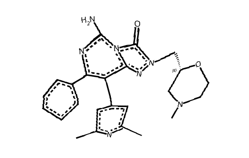 Cc1cc(-c2c(-c3ccccc3)nc(N)n3c(=O)n(C[C@H]4CN(C)CCO4)nc23)cc(C)n1